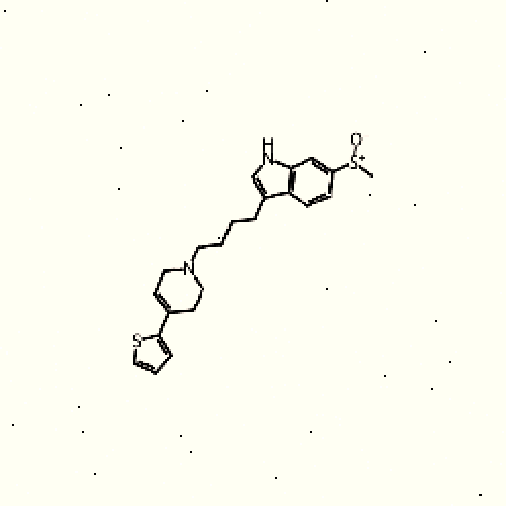 C[S+]([O-])c1ccc2c(CCCCN3CC=C(c4cccs4)CC3)c[nH]c2c1